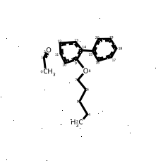 CC=O.CCCCCOc1ccccc1-c1ccccc1